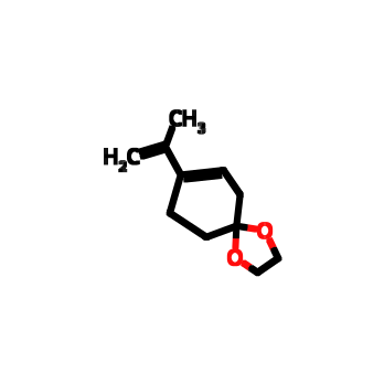 C=C(C)C1=CCC2(CC1)OCCO2